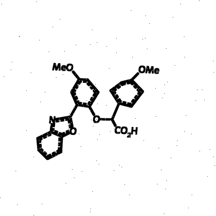 COc1ccc(C(Oc2ccc(OC)cc2-c2nc3ccccc3o2)C(=O)O)cc1